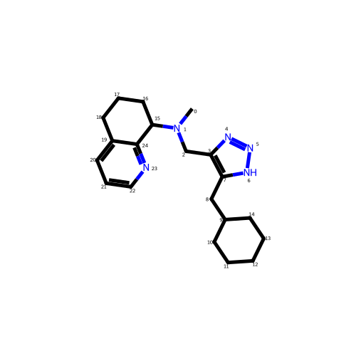 CN(Cc1nn[nH]c1CC1CCCCC1)C1CCCc2cccnc21